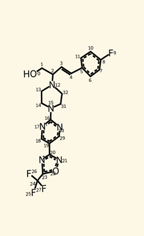 OCC(C=Cc1ccc(F)cc1)N1CCN(c2ncc(-c3noc(C(F)(F)F)n3)cn2)CC1